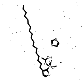 CCCCCCCCCCCCCCCCCCc1ccoc1P(=O)(OC)OC(C)O.c1cscn1